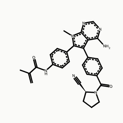 C=C(C)C(=O)Nc1ccc(-c2c(-c3ccc(C(=O)N4CCC[C@H]4C#N)cc3)c3c(N)ncnc3n2C)cc1